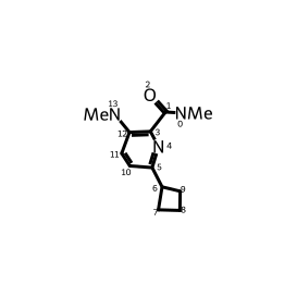 CNC(=O)c1nc(C2CCC2)ccc1NC